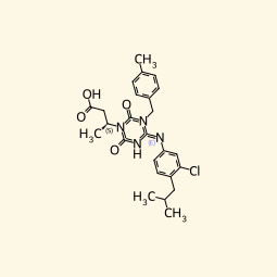 Cc1ccc(Cn2c(=O)n([C@@H](C)CC(=O)O)c(=O)[nH]/c2=N\c2ccc(CC(C)C)c(Cl)c2)cc1